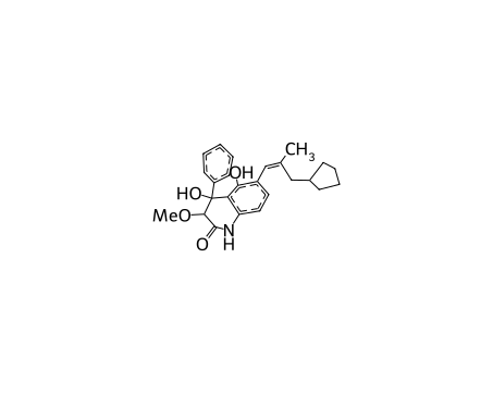 COC1C(=O)Nc2ccc(C=C(C)CC3CCCC3)c(O)c2C1(O)c1ccccc1